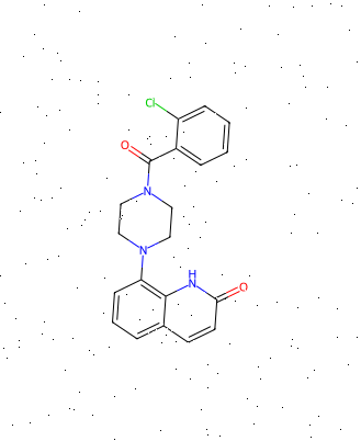 O=C(c1ccccc1Cl)N1CCN(c2cccc3ccc(=O)[nH]c23)CC1